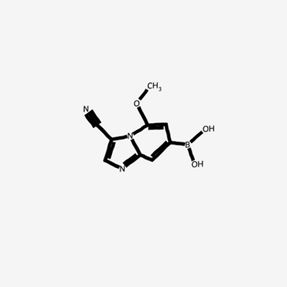 COc1cc(B(O)O)cc2ncc(C#N)n12